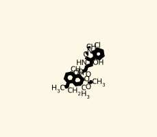 C=C(C)C1CCC(C)C2(O)C1C=C(C)C(OC(C)=O)C2OC(=O)C1CC2(O)c3cccc(Cl)c3N(C)OC2N1